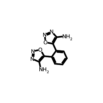 Nc1nnoc1-c1ccccc1-c1onnc1N